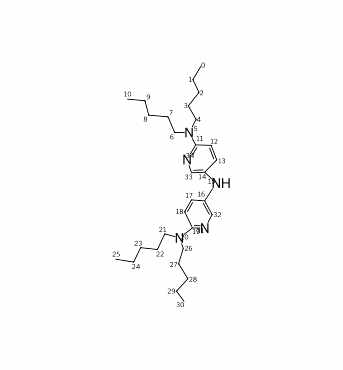 CCCCCN(CCCCC)c1ccc(Nc2ccc(N(CCCCC)CCCCC)nc2)cn1